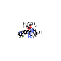 CCC(C)(C)Cc1cn(C(=O)OC(C)(C)C)c([C@@H](N)Cc2ccc(-c3ncccc3F)cc2)n1